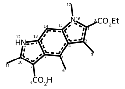 CCOC(=O)c1c(C)c2c(C)c3c(C(=O)O)c(C)[nH]c3cc2n1C